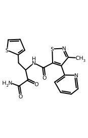 Cc1nsc(C(=O)NC(Cc2cccs2)C(=O)C(N)=O)c1-c1ccccn1